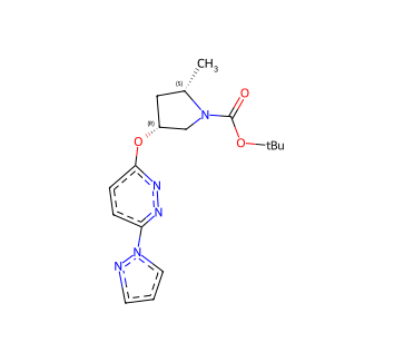 C[C@H]1C[C@@H](Oc2ccc(-n3cccn3)nn2)CN1C(=O)OC(C)(C)C